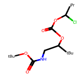 CC(C)C(Cl)OC(=O)OC(CNC(=O)OC(C)(C)C)C(C)(C)C